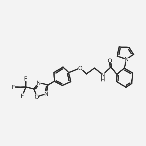 O=C(NCCOc1ccc(-c2noc(C(F)(F)F)n2)cc1)c1ccccc1-n1cccc1